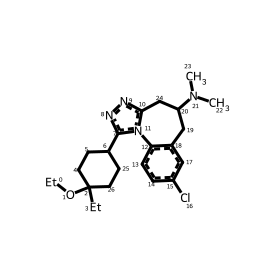 CCOC1(CC)CCC(c2nnc3n2-c2ccc(Cl)cc2CC(N(C)C)C3)CC1